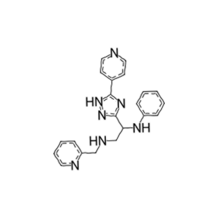 c1ccc(NC(CNCc2ccccn2)c2n[nH]c(-c3ccncc3)n2)cc1